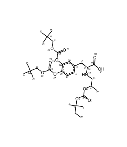 CCC(C)(C)OC(=O)OC(C)CN[C@@H](Cc1ccc(OC(=O)OCC(C)(C)C)c(OC(=O)OCC(C)(C)C)c1)C(=O)O